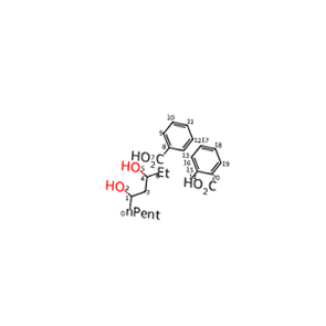 CCCCCC(O)CC(O)CC.O=C(O)c1ccccc1.O=C(O)c1ccccc1